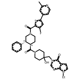 CCn1ccc2c(=O)n(CC3(O)CCN(C(=O)[C@@H]4CCN(C(=O)c5sc(-c6ccnc(C)c6)cc5F)C[C@H]4c4ccccc4)CC3)cnc21